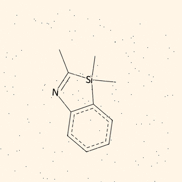 CC1=Nc2ccccc2[Si]1(C)C